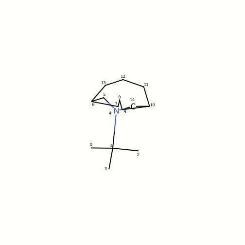 CC(C)(C)N1CC2CCCC(CCC2)C1